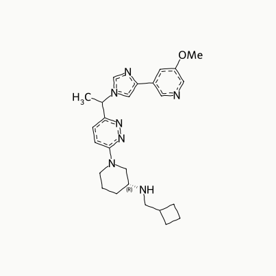 COc1cncc(-c2cn(C(C)c3ccc(N4CCC[C@@H](NCC5CCC5)C4)nn3)cn2)c1